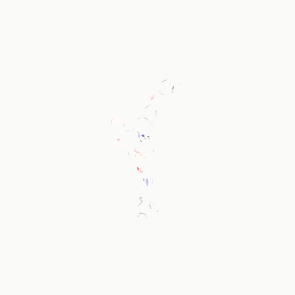 O=C(C[C@H]1CC[C@@H]2[C@H](COC[C@@H](O)CN2Cc2ccc(Oc3ccccc3)cc2)O1)N1CCc2ccccc2C1